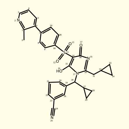 Cc1ncccc1-c1ccc(S(=O)(=O)c2c(O)n(C(c3cccc(C#N)c3)C3CC3)c(CC3CC3)nc2=O)cc1